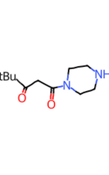 CC(C)(C)C(=O)CC(=O)N1CCNCC1